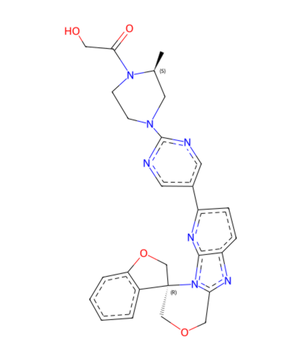 C[C@H]1CN(c2ncc(-c3ccc4nc5n(c4n3)[C@]3(COC5)COc4ccccc43)cn2)CCN1C(=O)CO